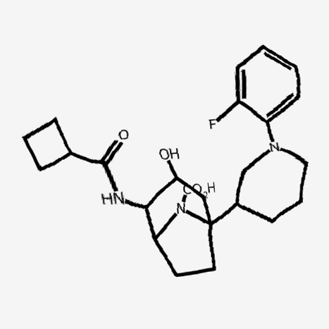 O=C(NC1C(O)CC2(C3CCCN(c4ccccc4F)C3)CCC1N2C(=O)O)C1CCC1